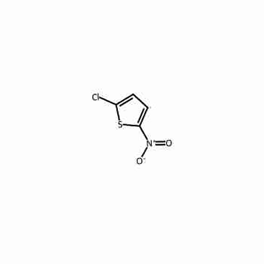 O=[N+]([O-])c1[c]cc(Cl)s1